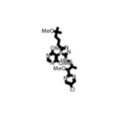 COc1ncnc(OC)c1-n1c(CCCC(C)(C)OC)nnc1NSC(C)C(OC)c1ncc(Cl)cn1